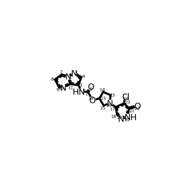 O=C(Nc1cnn2cccnc12)OC1CCN(c2cn[nH]c(=O)c2Cl)C1